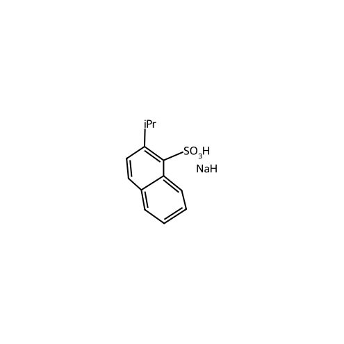 CC(C)c1ccc2ccccc2c1S(=O)(=O)O.[NaH]